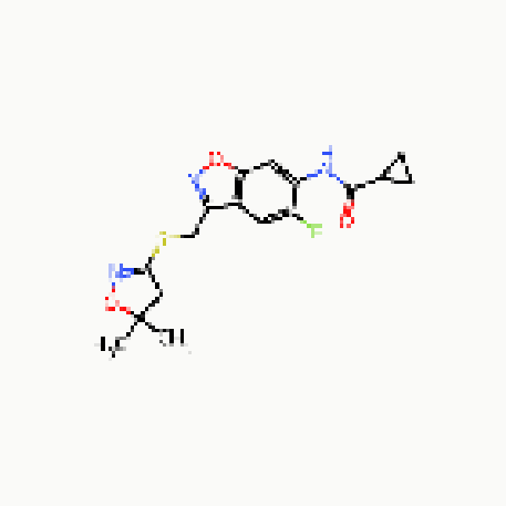 CC1(C)CC(SCc2noc3cc(NC(=O)C4CC4)c(F)cc23)=NO1